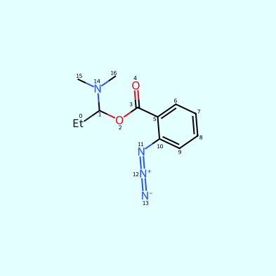 CCC(OC(=O)c1ccccc1N=[N+]=[N-])N(C)C